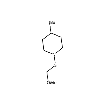 COCSN1CCC(C(C)(C)C)CC1